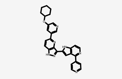 c1cc(-c2nccc3[nH]c(-c4n[nH]c5ccc(-c6cncc(OC7CCCCC7)c6)nc45)cc23)ccn1